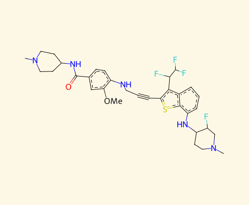 COc1cc(C(=O)NC2CCN(C)CC2)ccc1NCC#Cc1sc2c(NC3CCN(C)CC3F)cccc2c1C(F)C(F)F